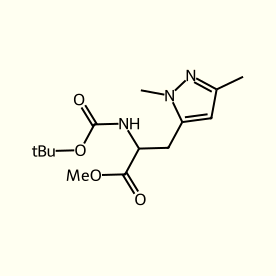 COC(=O)C(Cc1cc(C)nn1C)NC(=O)OC(C)(C)C